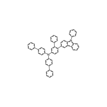 c1ccc(-c2ccc(N(c3ccc(-c4ccccc4)cc3)c3ccc(-c4ccc5c(c4)c4ccccc4n5-c4ccccc4)c(-c4ccccc4)c3)cc2)cc1